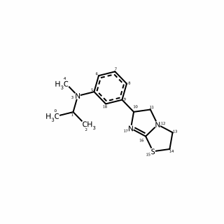 CC(C)N(C)c1cccc(C2CN3CCSC3=N2)c1